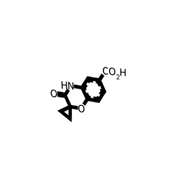 O=C(O)c1ccc2c(c1)NC(=O)C1(CC1)O2